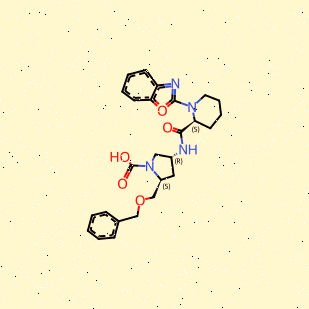 O=C(N[C@@H]1C[C@@H](COCc2ccccc2)N(C(=O)O)C1)[C@@H]1CCCCN1c1nc2ccccc2o1